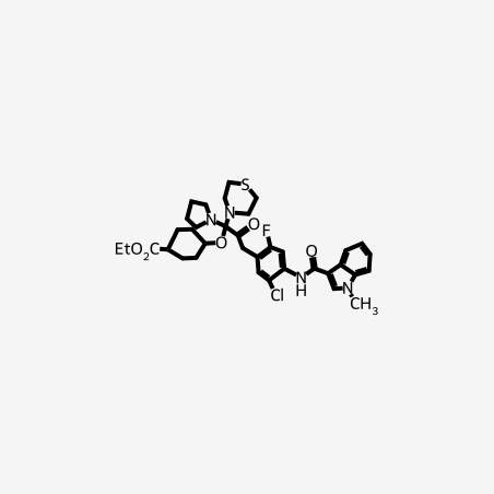 CCOC(=O)C1CCC(OC(C(=O)Cc2cc(Cl)c(NC(=O)c3cn(C)c4ccccc34)cc2F)(N2CCCC2)N2CCSCC2)CC1